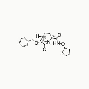 O=C(NOC1CCCC1)[C@@H]1CC[C@@H]2CN1C(=O)N2OCc1ccccc1